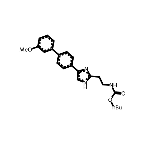 CCCCOC(=O)NCCc1nc(-c2ccc(-c3cccc(OC)c3)cc2)c[nH]1